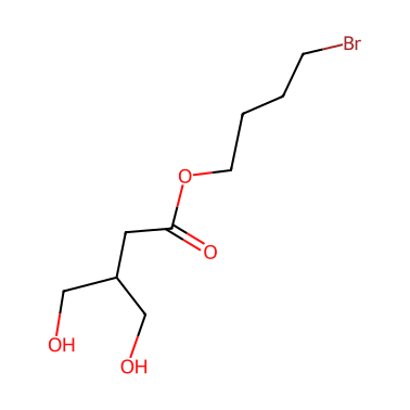 O=C(CC(CO)CO)OCCCCBr